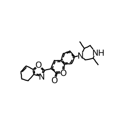 CC1CN(c2ccc3cc(-c4nc5c(o4)C=CCC5)c(=O)oc3c2)C(C)CN1